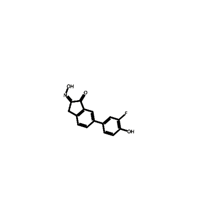 O=C1/C(=N\O)Cc2ccc(-c3ccc(O)c(F)c3)cc21